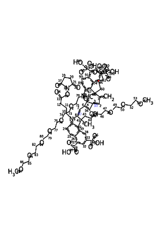 C=C(/C=C1\C(=O)C(/C=C2/N(CCCC(=O)ON3C(=O)CCC3=O)c3ccc4c(S(=O)(=O)O)cc(S(=O)(=O)O)cc4c3C2(C)CCOCCOCCOCCOC)=C1O)C(C)(CCCS(=O)(=O)O)c1c(NCCOCCOCCOCCOCCOCCOC)ccc2c(S(=O)(=O)O)cc(S(=O)(=O)O)cc12